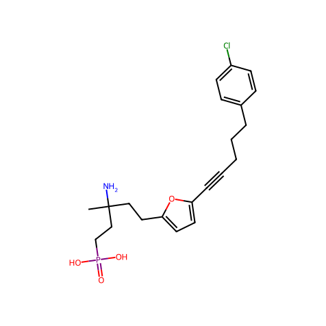 CC(N)(CCc1ccc(C#CCCCc2ccc(Cl)cc2)o1)CCP(=O)(O)O